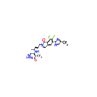 CC(C=CCn1ccc2cc(-c3ncc(C(F)(F)F)cn3)c(F)c(F)c2c1=O)Nc1cn[nH]c(=O)c1C(F)(F)F